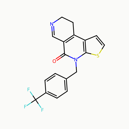 O=c1c2c(c3ccsc3n1Cc1ccc(C(F)(F)F)cc1)CCN=C2